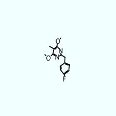 COc1nc(Cc2ccc(F)cc2)nc(OC)c1C